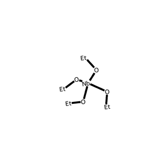 CC[O][Nb]([O]CC)([O]CC)[O]CC